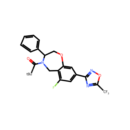 CC(C)(C)C(=O)N1Cc2c(F)cc(-c3noc(C(F)(F)F)n3)cc2OCC1c1ccccc1